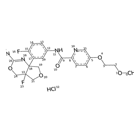 COCCOc1ccc(C(=O)Nc2ccc(F)c(C34COCC3(F)COC(N)=N4)c2)nc1.Cl